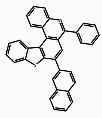 c1ccc(-c2nc3ccccc3c3c2cc(-c2ccc4ccccc4c2)c2sc4ccccc4c23)cc1